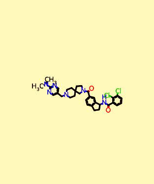 CN(C)c1ncc(CN2CCC3(CC2)CCN(C(=O)c2ccc4c(c2)C(NC(=O)c2cccc(Cl)c2Cl)CC4)C3)cn1